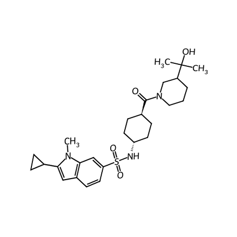 Cn1c(C2CC2)cc2ccc(S(=O)(=O)N[C@H]3CC[C@H](C(=O)N4CCCC(C(C)(C)O)C4)CC3)cc21